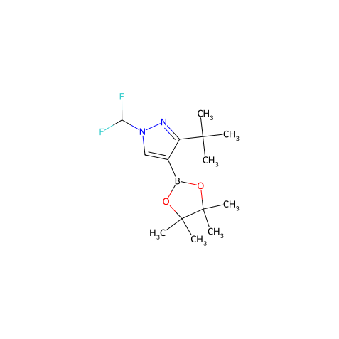 CC(C)(C)c1nn(C(F)F)cc1B1OC(C)(C)C(C)(C)O1